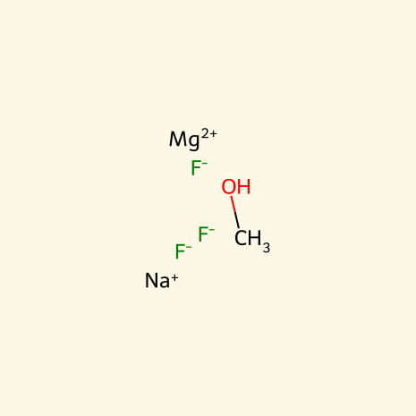 CO.[F-].[F-].[F-].[Mg+2].[Na+]